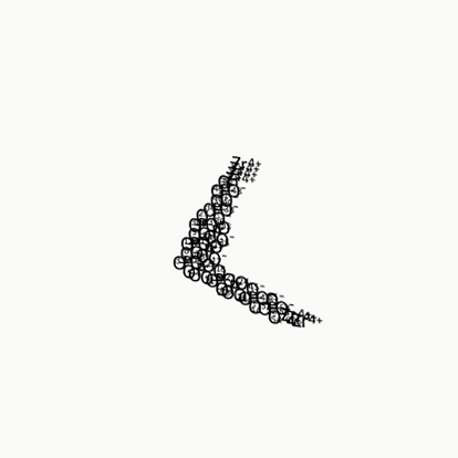 O=P([O-])([O-])OP(=O)([O-])[O-].O=P([O-])([O-])OP(=O)([O-])[O-].O=P([O-])([O-])OP(=O)([O-])[O-].O=P([O-])([O-])OP(=O)([O-])[O-].O=P([O-])([O-])[O-].O=P([O-])([O-])[O-].O=P([O-])([O-])[O-].O=P([O-])([O-])[O-].[Zr+4].[Zr+4].[Zr+4].[Zr+4].[Zr+4].[Zr+4].[Zr+4]